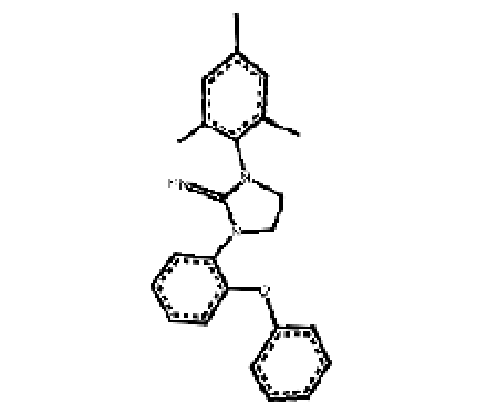 Cc1cc(C)c(N2CCN(c3ccccc3Oc3ccccc3)C2=N)c(C)c1